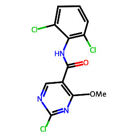 COc1nc(Cl)ncc1C(=O)Nc1c(Cl)cccc1Cl